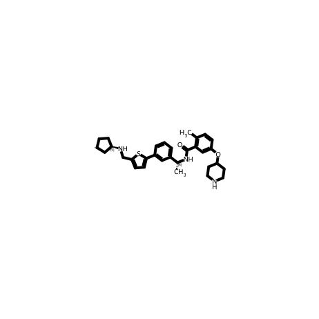 Cc1ccc(OC2CCNCC2)cc1C(=O)N[C@H](C)c1cccc(-c2ccc(CN[C@H]3C[CH]CC3)s2)c1